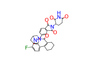 O=C1CCC(N2C(=O)c3ccc(CN4C5CC4CN(C(=O)C4=C(c6ccc(F)cc6)CCCC4)C5)cc3C2=O)C(=O)N1